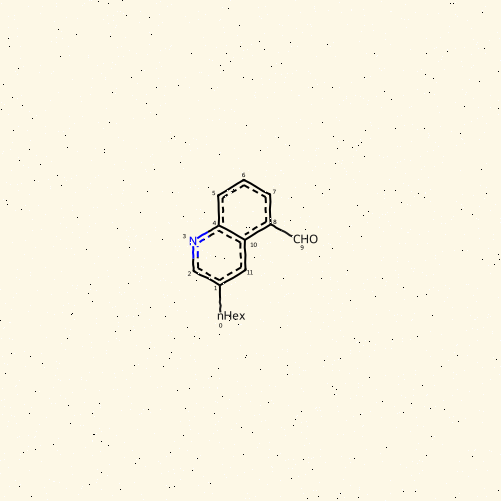 CCCCCCc1cnc2cccc(C=O)c2c1